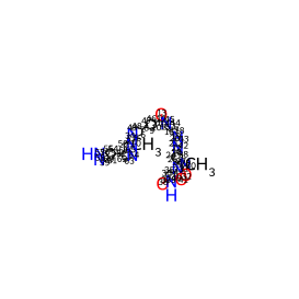 Cn1c(CN2CCC(c3ccc(C(=O)N4CCC(CN5CCN(c6ccc7c(c6)n(C)c(=O)n7C6CCC(=O)NC6=O)CC5)CC4)cc3)CC2)cc2c(-c3ccc4[nH]ncc4c3)ccnc21